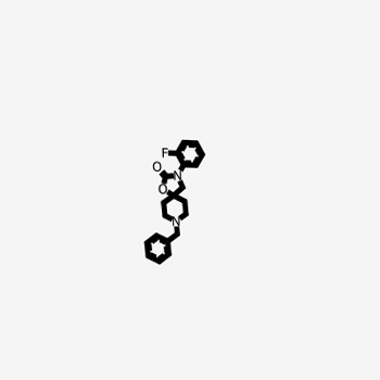 O=C1OC2(CCN(Cc3ccccc3)CC2)CN1c1ccccc1F